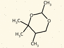 CC1OCC(C)C(C)(C)O1